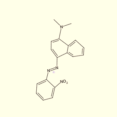 CN(C)c1ccc(/N=N/c2ccccc2[N+](=O)[O-])c2ccccc12